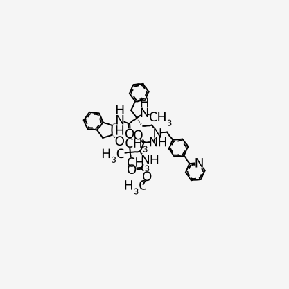 CN[C@](CCN(Cc1ccc(-c2ccccn2)cc1)NC(=O)[C@@H](NC(=O)OC)C(C)(C)C)(Cc1ccccc1)C(=O)N[C@H]1c2ccccc2C[C@H]1O